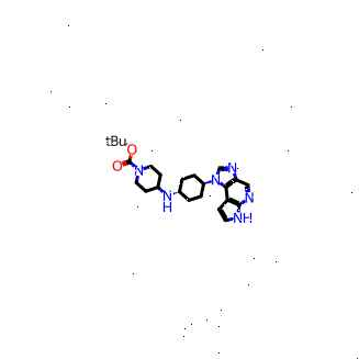 CC(C)(C)OC(=O)N1CCC(N[C@H]2CC[C@H](n3cnc4cnc5[nH]ccc5c43)CC2)CC1